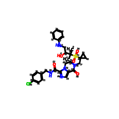 CC(C)([C@@H](O)CNc1ccccc1)S(=O)(=O)C1(CN2CCn3c(cnc3C(=O)NCc3ccc(Cl)cc3)C2=O)CC1